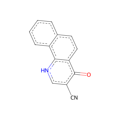 N#Cc1c[nH]c2c(ccc3ccccc32)c1=O